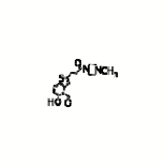 CN1CCN(C(=O)CCc2cc3c(C=O)c(O)ccc3s2)CC1